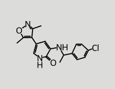 Cc1noc(C)c1-c1c[nH]c(=O)c(NC(C)c2ccc(Cl)cc2)c1